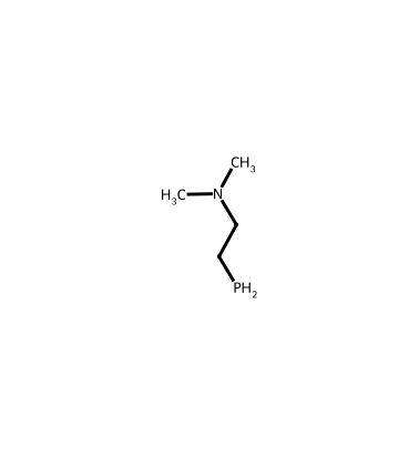 CN(C)CCP